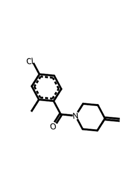 C=C1CCN(C(=O)c2ccc(Cl)cc2C)CC1